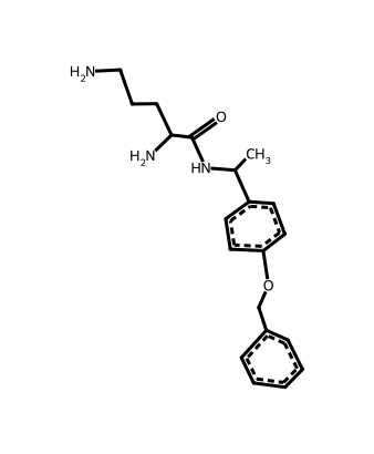 CC(NC(=O)C(N)CCCN)c1ccc(OCc2ccccc2)cc1